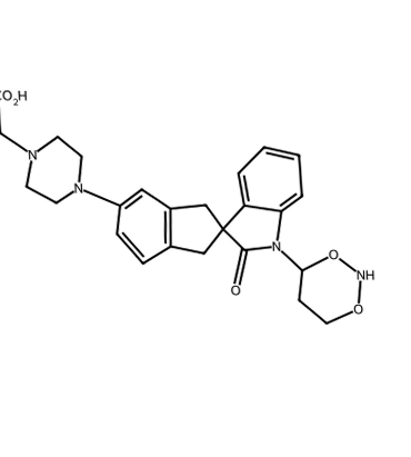 O=C(O)CN1CCN(c2ccc3c(c2)CC2(C3)C(=O)N(C3CCONO3)c3ccccc32)CC1